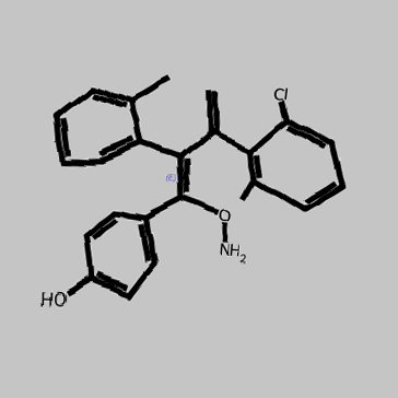 C=C(/C(=C(\ON)c1ccc(O)cc1)c1ccccc1C)c1c(C)cccc1Cl